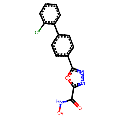 O=C(NO)c1nnc(-c2ccc(-c3ccccc3Cl)cc2)o1